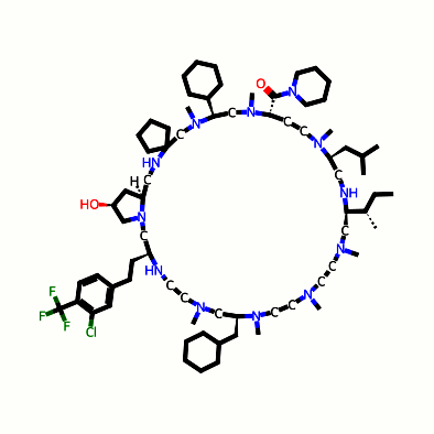 CC[C@H](C)[C@H]1CN(C)CCN(C)CCN(C)[C@@H](CC2CCCCC2)CN(C)CCN[C@@H](CCc2ccc(C(F)(F)F)c(Cl)c2)CN2C[C@@H](O)C[C@H]2CNC2(CCCC2)CN(C)[C@@H](C2CCCCC2)CN(C)[C@H](C(=O)N2CCCCC2)CCN(C)[C@@H](CC(C)C)CN1